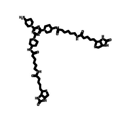 NC1CCN(c2nc(N3CCC(NC(=O)CCCCCNC(=O)CCCCC4SCC5NC(=O)NC54)CC3)nc(N3CCC(NC(=O)CCCCCNC(=O)CCCCC4SCC5NC(=O)NC54)CC3)n2)CC1